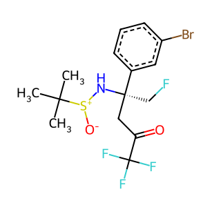 CC(C)(C)[S+]([O-])N[C@](CF)(CC(=O)C(F)(F)F)c1cccc(Br)c1